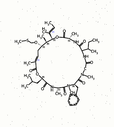 C/C=C(\C)[C@H]1OC(=O)[C@H](C)NC(=O)C(C(C)CC)NC(=O)CN(C)C(=O)[C@@H](Cc2ccccc2)N(C)C(=O)[C@H](C)NC(=O)[C@@H](CC(C)C)OC(=O)/C(C)=C/C[C@H](OCSC)[C@H]1C